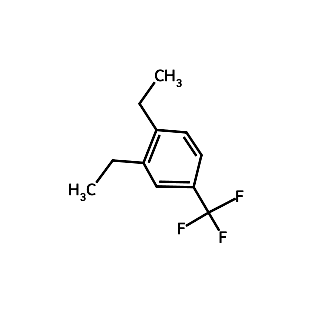 CCc1ccc(C(F)(F)F)cc1CC